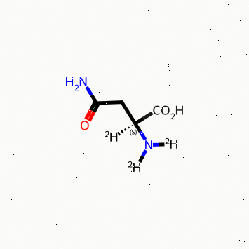 [2H]N([2H])[C@@]([2H])(CC(N)=O)C(=O)O